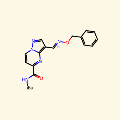 CCC(C)NC(=O)c1ccn2ncc(/C=N/OCc3ccccc3)c2n1